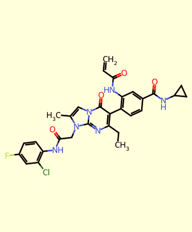 C=CC(=O)Nc1cc(C(=O)NC2CC2)ccc1-c1c(CC)nc2n(CC(=O)Nc3ccc(F)cc3Cl)c(C)cn2c1=O